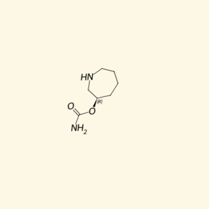 NC(=O)O[C@@H]1CCCCNC1